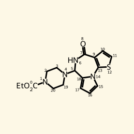 CCOC(=O)N1CCN(C2NC(=O)c3ccsc3-n3cccc32)CC1